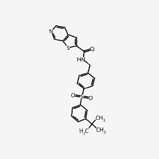 CC(C)(C)c1cccc(S(=O)(=O)c2ccc(CNC(=O)c3cc4ccncc4s3)cc2)c1